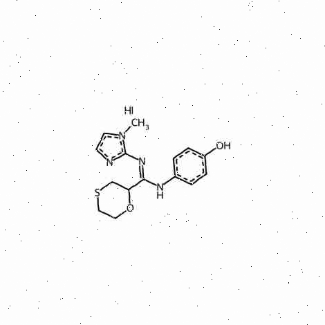 Cn1ccnc1N=C(Nc1ccc(O)cc1)C1CSCCO1.I